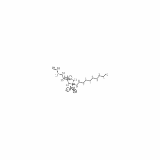 CCCCCCCCCCC(CO)(CCCCCCC)[N+](=O)[O-]